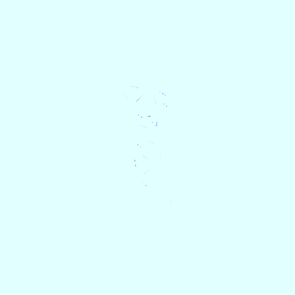 O=C(Nc1ccc(N(CCO)CCO)cc1Cl)c1cnc(-c2c(-c3ccc(F)cc3)ncn2C(F)(F)F)[nH]1